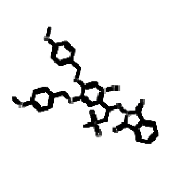 COc1ccc(COc2cc(C(CS(C)(=O)=O)ON3C(=O)c4ccccc4C3=O)[n+](O)cc2OCc2ccc(OC)cc2)cc1